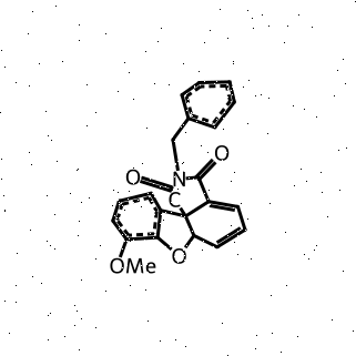 COc1cccc2c1OC1C=CC=C3C(=O)N(Cc4ccccc4)C(=O)CC321